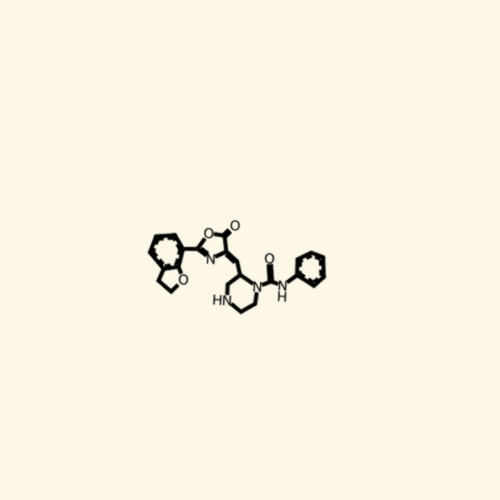 O=C1OC(c2cccc3c2OCC3)=NC1=CC1CNCCN1C(=O)Nc1ccccc1